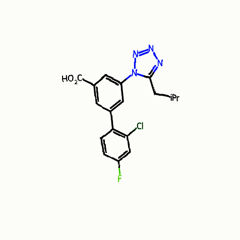 CC(C)Cc1nnnn1-c1cc(C(=O)O)cc(-c2ccc(F)cc2Cl)c1